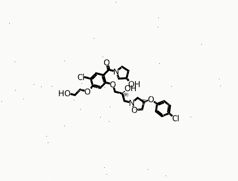 O=C(c1cc(Cl)c(OCCO)cc1OC[C@H](O)CN1C[C@@H](Oc2ccc(Cl)cc2)CO1)N1CCC(O)C1